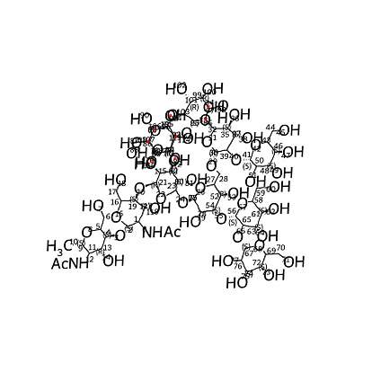 CC(=O)NC1[C@H](O[C@@H]2C(CO)O[C@@H](C)C(NC(C)=O)[C@H]2O)OC(CO)[C@@H](O[C@@H]2OC(O[C@H]3OC(CO[C@@H]4OC(CO)[C@@H](O)[C@H](O)C4O[C@@H]4OC(CO)[C@@H](O)[C@H](O)C4O)[C@@H](O)[C@H](O[C@@H]4OC(CO)[C@@H](O)[C@H](O)C4O[C@@H]4OC(CO)[C@@H](O)[C@H](O)C4O)C3O)[C@@H](O)[C@H](O[C@@H]3OC(CO)[C@H](O)C(O)[C@@H]3O[C@H]3OC(O)[C@H](O)[C@@H](O)C3O[C@H]3OC(O)[C@H](O)[C@@H](O)C3O)C2O)[C@@H]1O